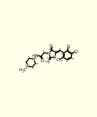 CN1CCN(NC(=O)CN2C(=O)/C(=C/c3c(Cl)ccc(Cl)c3Cl)SC2=S)CC1